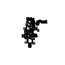 CCCCCOC(=O)O[C@]1(C(=O)COC(C)=O)CC[C@H]2[C@@H]3CCC4=CC(=O)CC[C@]4(C)[C@H]3C(=O)C[C@@]21C